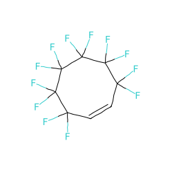 FC1(F)C=CC(F)(F)C(F)(F)C(F)(F)C(F)(F)C1(F)F